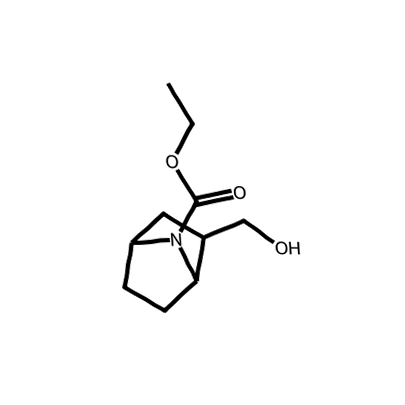 CCOC(=O)N1C2CCC1C(CO)C2